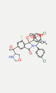 CO[C@]1(c2ccc(Cl)cc2)c2c(F)cc(C3(C4COCN4)CO3)cc2C(=O)N1[C@H](c1ccc(Cl)cc1)[C@H](C)C(=O)O